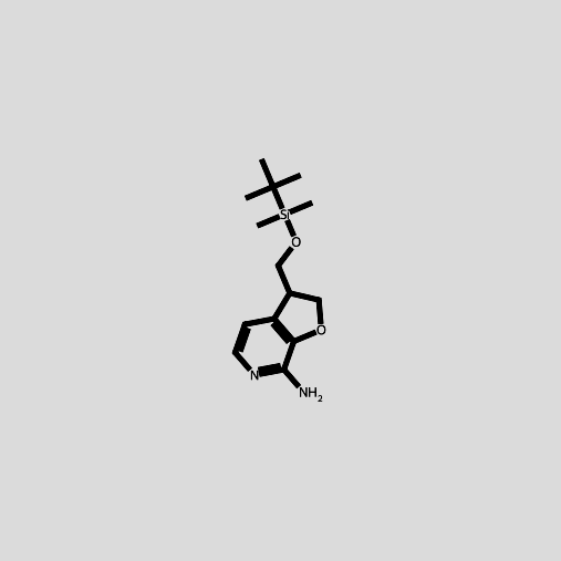 CC(C)(C)[Si](C)(C)OCC1COc2c1ccnc2N